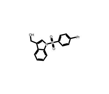 CC(C)c1ccc(S(=O)(=O)n2cc(CO)c3ccccc32)cc1